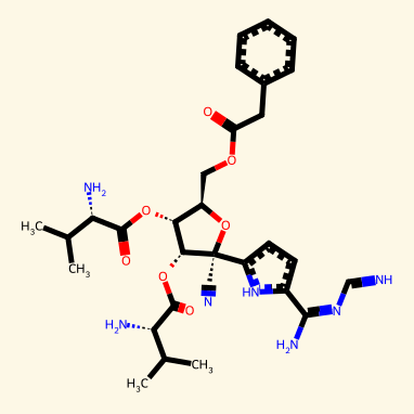 CC(C)[C@H](N)C(=O)O[C@H]1[C@@H](OC(=O)[C@@H](N)C(C)C)[C@](C#N)(c2ccc(/C(N)=N\C=N)[nH]2)O[C@@H]1COC(=O)Cc1ccccc1